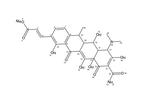 COC(=O)/C=C/c1ccc2c(c1O)C(=O)C1=C(O)C3(O)C(=O)C(C(N)=O)=C(O)C(N(C)C)C3C(O)C1C2C